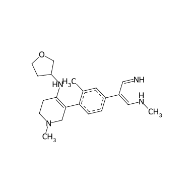 CN/C=C(\C=N)c1ccc(C2=C(NC3CCOC3)CCN(C)C2)c(C)c1